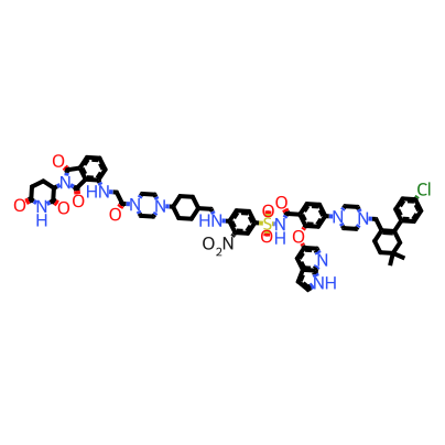 CC1(C)CCC(CN2CCN(c3ccc(C(=O)NS(=O)(=O)c4ccc(NCC5CCC(N6CCN(C(=O)CNc7cccc8c7C(=O)N(C7CCC(=O)NC7=O)C8=O)CC6)CC5)c([N+](=O)[O-])c4)c(Oc4cnc5[nH]ccc5c4)c3)CC2)=C(c2ccc(Cl)cc2)C1